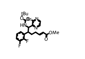 COC(=O)C=CCCC(c1cccc(F)c1F)C(NC(=O)OC(C)(C)C)c1nccnc1Br